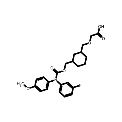 COc1ccc(N(C(=O)OCC2CCCC(COCC(=O)O)C2)c2cccc(F)c2)cc1